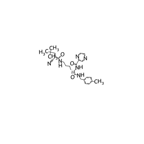 Cc1ccc(CNC(=O)[C@H](CCCCNC(=O)C(C#N)=CC(C)(C)C)NC(=O)c2cnccn2)cc1